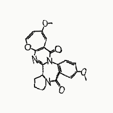 COC1=Cc2c(nc3n(c2=O)-c2ccc(OC)cc2C(=O)N2CCCC32)OC=C1